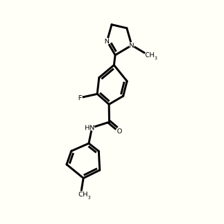 Cc1ccc(NC(=O)c2ccc(C3=NCCN3C)cc2F)cc1